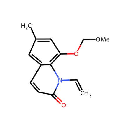 C=Cn1c(=O)ccc2cc(C)cc(OCOC)c21